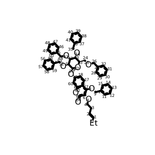 CC/C=C/CCOc1c(OCc2ccccc2)c2ccc(O[C@H]3O[C@H](COCc4ccccc4)[C@@H](OCc4ccccc4)[C@H](OCc4ccccc4)[C@@H]3OCc3ccccc3)cc2oc1=O